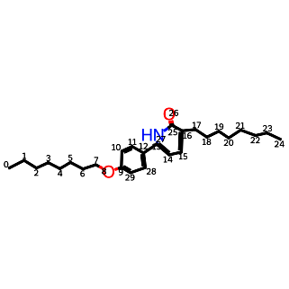 CCCCCCCCOc1ccc(-c2ccc(CCCCCCCC)c(=O)[nH]2)cc1